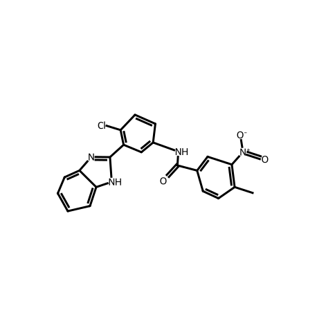 Cc1ccc(C(=O)Nc2ccc(Cl)c(-c3nc4ccccc4[nH]3)c2)cc1[N+](=O)[O-]